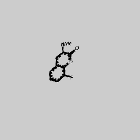 [CH]Nc1cc2cccc(F)c2oc1=O